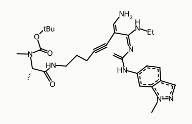 C=C(/N=C(NCC)\C(C#CCCCNC(=O)[C@H](C)N(C)C(=O)OC(C)(C)C)=C/N)Nc1ccc2cnn(C)c2c1